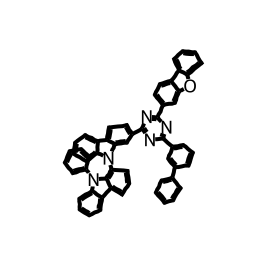 c1ccc(-c2cccc(-c3nc(-c4ccc5c(c4)oc4ccccc45)nc(-c4ccc5c6ccccc6n(-c6cccc7c8ccccc8n(-c8ccccc8)c67)c5c4)n3)c2)cc1